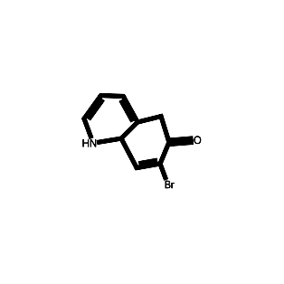 O=C1CC2=CC=CNC2C=C1Br